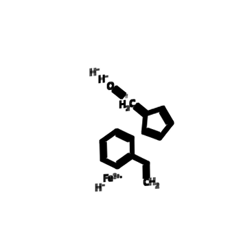 C=C1C=CC=C1.C=Cc1ccccc1.[C]=O.[Fe+3].[H-].[H-].[H-]